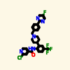 O=C(Nc1ccc(C(F)(F)F)cc1C1CCN(Cc2ccc(-c3ncc(F)cn3)cc2)CC1)c1ccnc(Cl)c1